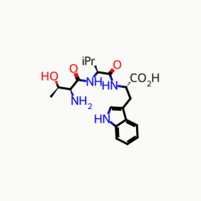 CC(C)[C@H](NC(=O)[C@@H](N)[C@@H](C)O)C(=O)N[C@@H](Cc1c[nH]c2ccccc12)C(=O)O